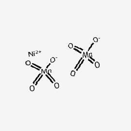 [Ni+2].[O]=[Mn](=[O])(=[O])[O-].[O]=[Mn](=[O])(=[O])[O-]